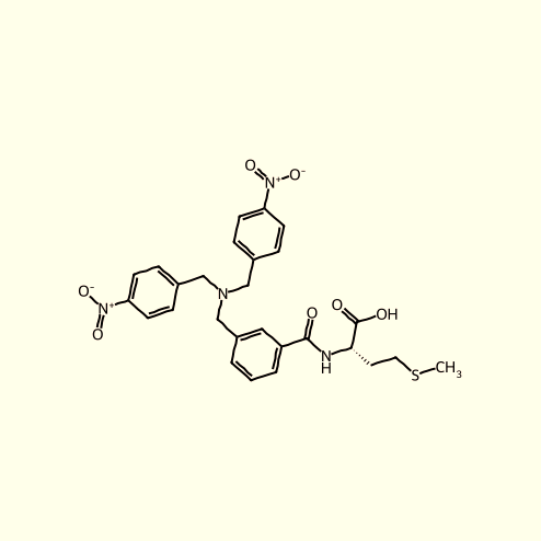 CSCC[C@H](NC(=O)c1cccc(CN(Cc2ccc([N+](=O)[O-])cc2)Cc2ccc([N+](=O)[O-])cc2)c1)C(=O)O